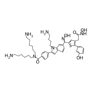 NCCCCCCN(CCCCCCN)C(=O)c1ccc(-c2cc3ccc(C(=NO)c4cc(CC(=O)NO)c(-c5cccc(O)c5)s4)cc3n2CCCCN)cc1